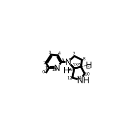 Cc1cccc(N2CC[C@H]3CNC[C@H]32)n1